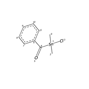 [CH3][Sn]([CH3])([Cl])[C](=O)c1ccccc1